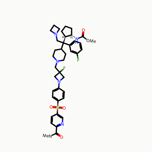 CNC(=O)c1ccc(S(=O)(=O)c2ccc(N3CC(F)(CN4CCC(C(CN5CCC5)(c5cccc(F)c5)[C@H]5CCC[C@@H]5NC(=O)OC)CC4)C3)cc2)cn1